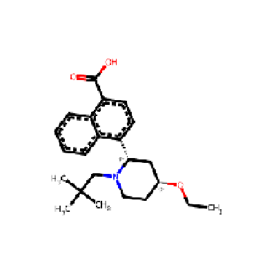 CCO[C@H]1CCN(CC(C)(C)C)[C@H](c2ccc(C(=O)O)c3ccccc23)C1